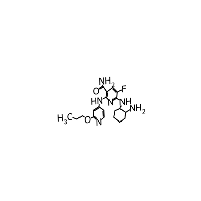 CCCOc1cc(Nc2nc(NC3CCCCC3N)c(F)cc2C(N)=O)ccn1